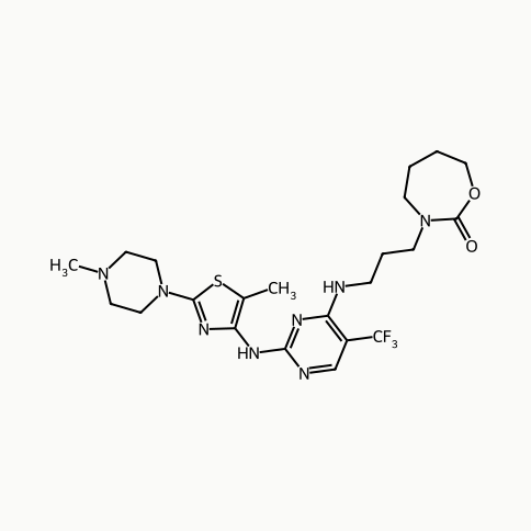 Cc1sc(N2CCN(C)CC2)nc1Nc1ncc(C(F)(F)F)c(NCCCN2CCCCOC2=O)n1